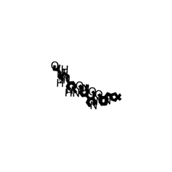 Cn1cc(-c2ccnc(-n3ccn4c5c(cc4c3=O)CC(C)(C)C5)c2CO)cc(Nc2ccc(N3C[C@@H]4C[C@H]3CN4C3COC3)cn2)c1=O